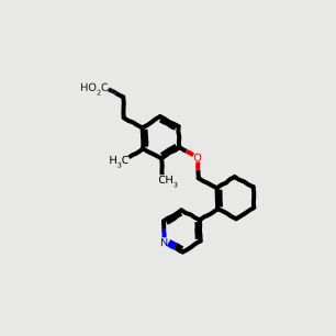 Cc1c(CCC(=O)O)ccc(OCC2=C(c3ccncc3)CCCC2)c1C